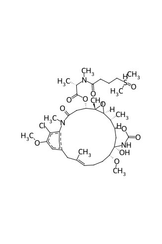 COc1cc2cc(c1Cl)N(C)C(=O)C[C@H](OC(=O)[C@H](C)N(C)C(=O)CCC[SH](C)(C)=O)[C@]1(C)O[C@H]1[C@H](C)[C@@H]1C[C@@](O)(NC(=O)O1)[C@H](OC)CC/C=C(\C)C2